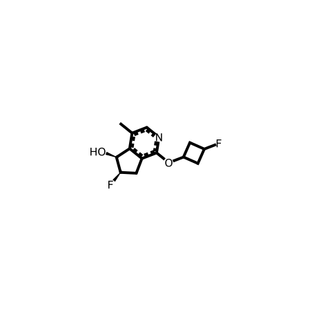 Cc1cnc(OC2CC(F)C2)c2c1[C@H](O)[C@H](F)C2